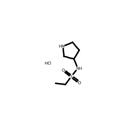 CCS(=O)(=O)NC1CCNC1.Cl